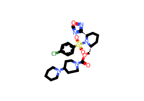 O=C(OC[C@H]1CCC[C@@H](c2ncon2)N1S(=O)(=O)c1ccc(Cl)cc1)N1CCC(N2CCCCC2)CC1